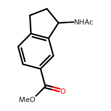 COC(=O)c1ccc2c(c1)C(NC(C)=O)CC2